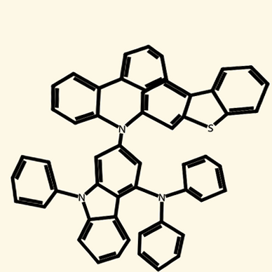 c1ccc(-c2ccccc2N(c2ccc3c(c2)sc2ccccc23)c2cc(N(c3ccccc3)c3ccccc3)c3c4ccccc4n(-c4ccccc4)c3c2)cc1